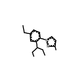 CCc1ccc(-n2ccc(C)n2)c(C(CC)CC)c1